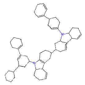 C1=CC(C2CC=C(N3C4CC(C5CCC6=C(C5)C5C=CCCC5N6C5CC(C6=CCCCC6)=CC(C6CCCCC6)C5)CC=C4C4C=CCCC43)CC2)=CCC1